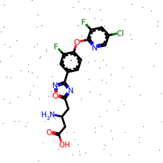 NC(CC(=O)O)Cc1nc(-c2ccc(Oc3ncc(Cl)cc3F)c(F)c2)no1